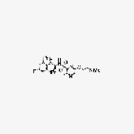 CNCCOc1cnc(C)c(S(=O)(=O)NC(=O)Nc2c(C(C)C)cc(F)cc2C(C)C)n1